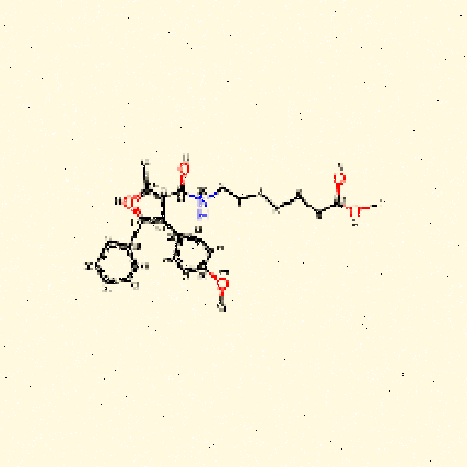 COC(=O)CCCCCCNC(=O)c1c(C)oc(-c2ccccc2)c1-c1ccc(OC)cc1